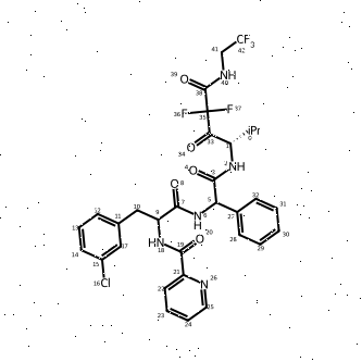 CC(C)[C@H](NC(=O)C(NC(=O)C(Cc1cccc(Cl)c1)NC(=O)c1ccccn1)c1ccccc1)C(=O)C(F)(F)C(=O)NCC(F)(F)F